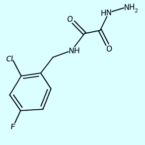 NNC(=O)C(=O)NCc1ccc(F)cc1Cl